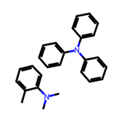 Cc1ccccc1N(C)C.c1ccc(N(c2ccccc2)c2ccccc2)cc1